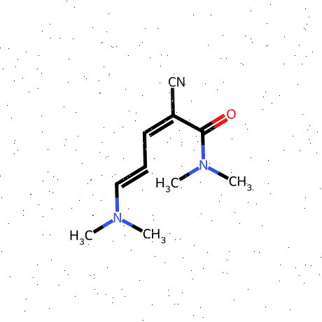 CN(C)C=CC=C(C#N)C(=O)N(C)C